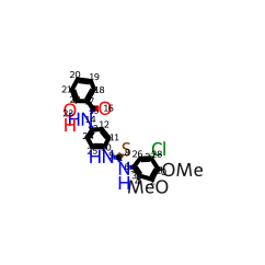 COc1cc(OC)c(NC(=S)Nc2ccc(NC(=O)c3ccccc3O)cc2)cc1Cl